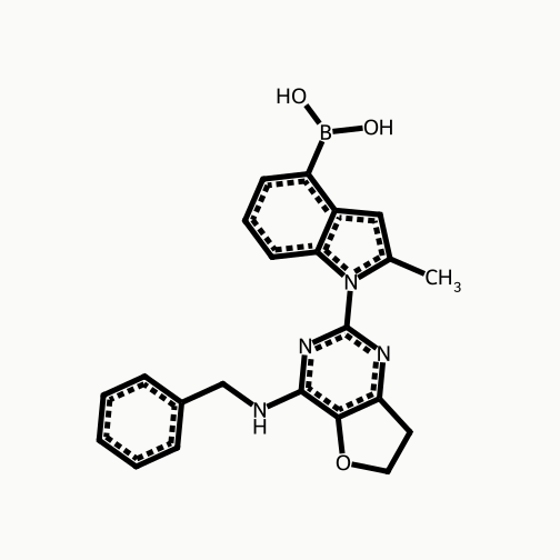 Cc1cc2c(B(O)O)cccc2n1-c1nc2c(c(NCc3ccccc3)n1)OCC2